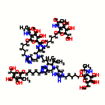 CC(=O)N[C@H]1[C@H](OCCCCCN2C=C(CN(Cc3cn(CCCCCO[C@@H]4O[C@H](CO)[C@H](O)[C@H](O)[C@H]4C)nn3)C(CCCCN(Cc3cn(CCCCCO[C@@H]4O[C@H](CO)[C@H](O)[C@H](O)[C@H]4NC(C)=O)nn3)Cc3cn(CCCCCO[C@@H]4O[C@H](CO)[C@H](O)[C@H](O)[C@H]4NC(C)=O)nn3)C(C)C)NN2)O[C@H](CO)[C@H](O)[C@@H]1O